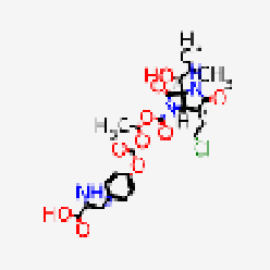 CC(OC(=O)Oc1ccc(CC(N)C(=O)O)cc1)OC(=O)N1C(=O)C2([C@H](O)C(C)C)NC(=O)[C@@H](CCCl)[C@@H]12